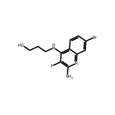 Nc1nc2cc(Br)ccc2c(NCCCO)c1F